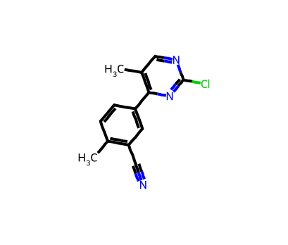 Cc1ccc(-c2nc(Cl)ncc2C)cc1C#N